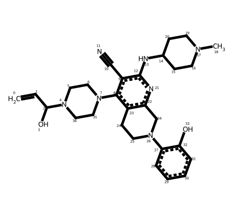 C=CC(O)N1CCN(c2c(C#N)c(NC3CCN(C)CC3)nc3c2CCN(c2ccccc2O)C3)CC1